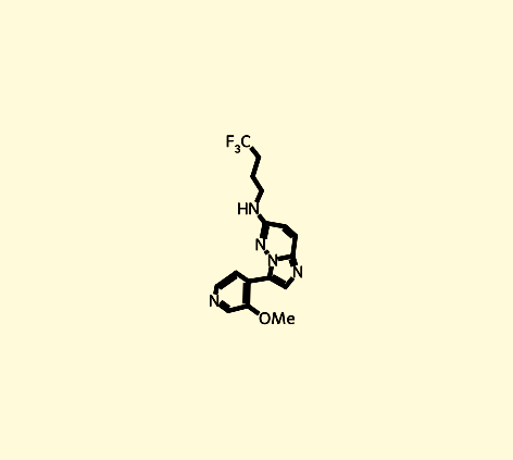 COc1cnccc1-c1cnc2ccc(NCCCC(F)(F)F)nn12